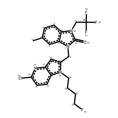 Cc1ccc2c(c1)n(Cc1cc3nc(Cl)ccc3n1CCCCF)c(=O)n2CC(F)(F)F